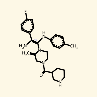 C=C1CN(C(=O)C2CCCNC2)CCN1/C(Nc1ccc(C)cc1)=C(\N)c1ccc(F)cc1